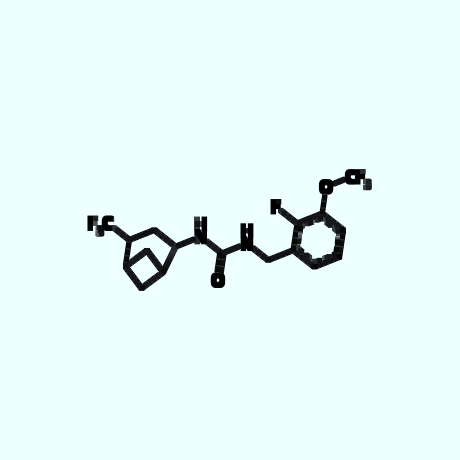 O=C(NCc1cccc(OC(F)(F)F)c1F)NC1CC(C(F)(F)F)C2CC1C2